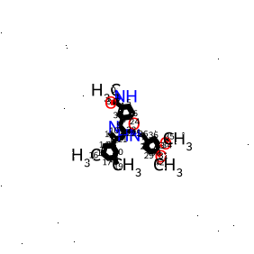 CNC(=O)c1cccc(-c2ncc(-c3cc(C)cc(C)c3)cc2C(=O)NCc2ccc(OC)c(OC)c2)c1